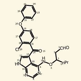 CCCC(CC=O)ONc1ncnc2[nH]cc(C(=O)c3ccc(Oc4ccccc4)cc3Cl)c12